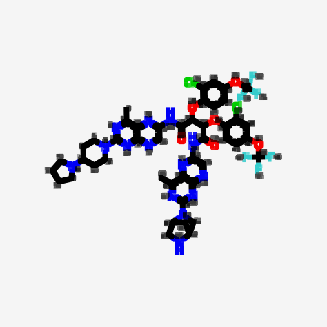 Cc1nc(N2CCC(N3CCCC3)CC2)nc2ncc(NC(=O)C(Oc3ccc(OC(F)(F)F)cc3Cl)C(Oc3ccc(OC(F)(F)F)cc3Cl)C(=O)Nc3cnc4nc(N5CC6CC5CN6)nc(C)c4n3)nc12